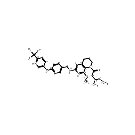 CO[C@@H](C)[C@H]1C(=O)N2CCCc3nc(NCc4ccc(Oc5ccc(C(F)(F)F)nc5)nc4)nc(c32)N1C